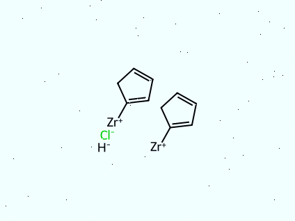 [Cl-].[H-].[Zr+][C]1=CC=CC1.[Zr+][C]1=CC=CC1